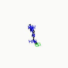 C=Nc1c(/C(=N\C)NC2CC2)ccn1[C@H]1CC[C@@H](CN(CCCCc2nc3cc(Cl)c(Cl)cc3[nH]2)C(C)C)C1